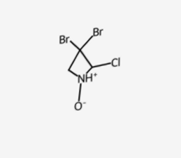 [O-][NH+]1CC(Br)(Br)C1Cl